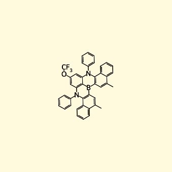 Cc1cc2c(c3ccccc13)N(c1ccccc1)c1cc(OC(F)(F)F)cc3c1B2c1cc(C)c2ccccc2c1N3c1ccccc1